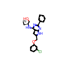 CC(C)C[C@@H](CO)Nc1nc(-c2ccccc2)nc2[nH]c(COc3cccc(Cl)c3)cc12